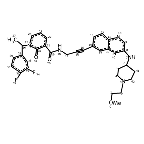 COCCN1CCC(Nc2cnc3ccc(C#CCNC(=O)c4cccn(C(C)c5ccc(F)c(F)c5)c4=O)cc3n2)CC1